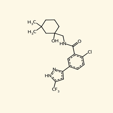 CC1(C)CCCC(O)(CNC(=O)c2cc(-c3cc(C(F)(F)F)[nH]n3)ccc2Cl)C1